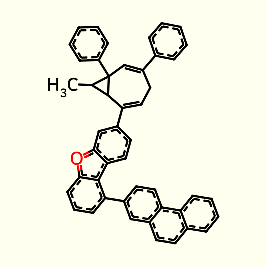 CC1C2C(c3ccc4c(c3)oc3cccc(-c5ccc6c(ccc7ccccc76)c5)c34)=CCC(c3ccccc3)=CC12c1ccccc1